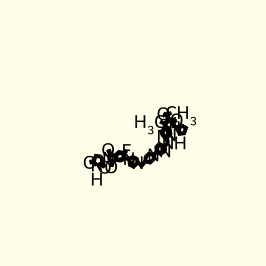 CC(=O)c1c(C)c2cnc(Nc3ccc(N4CCC(CN5CCN(c6cc7c(cc6F)C(=O)N(C6CCC(=O)NC6=O)C7=O)CC5)CC4)cn3)nc2n(C2CCCC2)c1=O